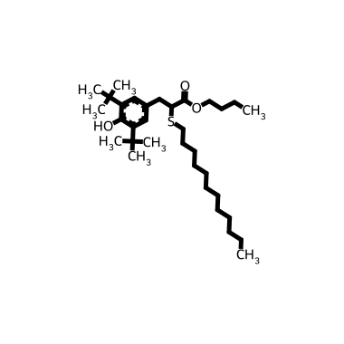 CCCCCCCCCCCCSC(Cc1cc(C(C)(C)C)c(O)c(C(C)(C)C)c1)C(=O)OCCCC